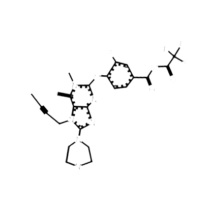 CC#CCn1c(N2CCNCC2)nc2nc(Oc3ccc(C(=O)OC(=O)C(F)(F)F)cc3F)n(C)c(=O)c21